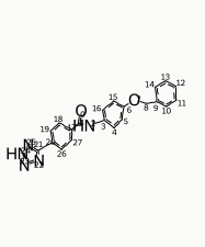 O=C(Nc1ccc(OCc2ccccc2)cc1)c1ccc(-c2nn[nH]n2)cc1